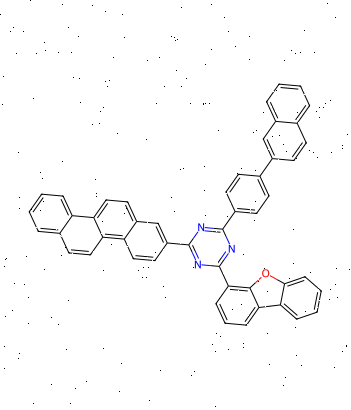 c1ccc2cc(-c3ccc(-c4nc(-c5ccc6c(ccc7c8ccccc8ccc67)c5)nc(-c5cccc6c5oc5ccccc56)n4)cc3)ccc2c1